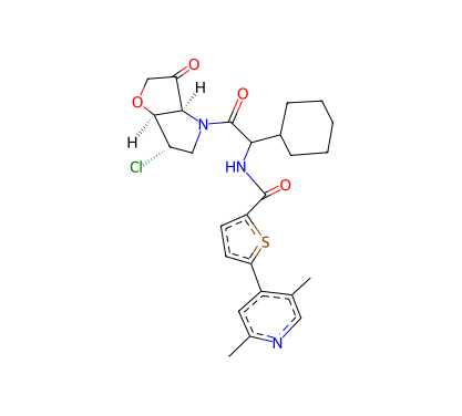 Cc1cc(-c2ccc(C(=O)NC(C(=O)N3C[C@H](Cl)[C@H]4OCC(=O)[C@H]43)C3CCCCC3)s2)c(C)cn1